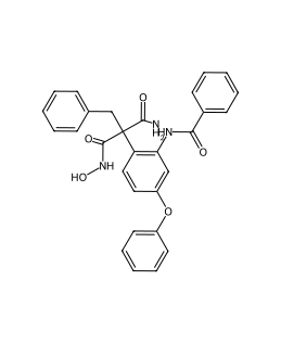 NC(=O)C(Cc1ccccc1)(C(=O)NO)c1ccc(Oc2ccccc2)cc1NC(=O)c1ccccc1